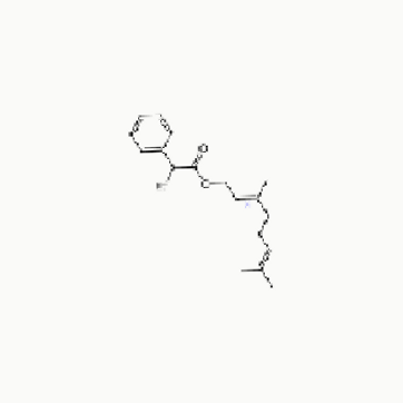 CCC(C(=O)OC/C=C(\C)CCC=C(C)C)c1ccccc1